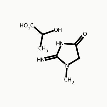 CC(O)C(=O)O.CN1CC(=O)NC1=N